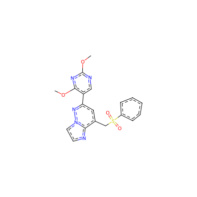 COc1ncc(-c2cc(CS(=O)(=O)c3ccccc3)c3nccn3n2)c(OC)n1